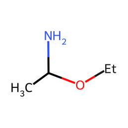 [CH2]COC(C)N